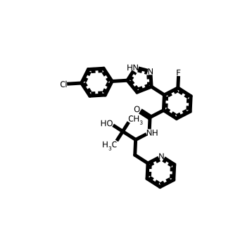 CC(C)(O)C(Cc1ccccn1)NC(=O)c1cccc(F)c1-c1cc(-c2ccc(Cl)cc2)[nH]n1